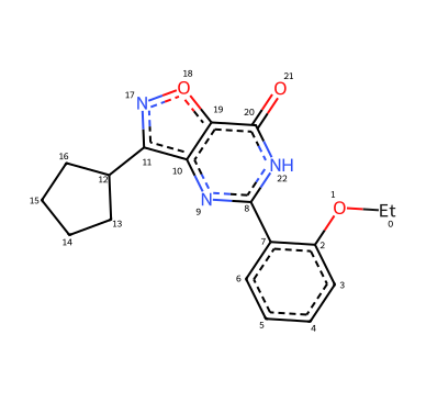 CCOc1ccccc1-c1nc2c(C3CCCC3)noc2c(=O)[nH]1